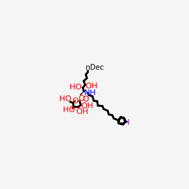 CCCCCCCCCCCCCC[C@@H](O)[C@@H](O)[C@H](COC1OC(CO)C(O)C(O)C1O)NC(=O)CCCCCCCCCCc1ccc(I)cc1